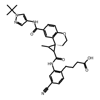 CC1C(C(=O)Nc2cc(C#N)ccc2CCCC(=O)O)[C@@]12CCOc1ccc(C(=O)Nc3cnn(C(C)(C)C)c3)cc12